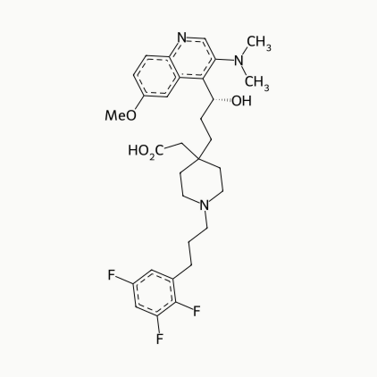 COc1ccc2ncc(N(C)C)c([C@H](O)CCC3(CC(=O)O)CCN(CCCc4cc(F)cc(F)c4F)CC3)c2c1